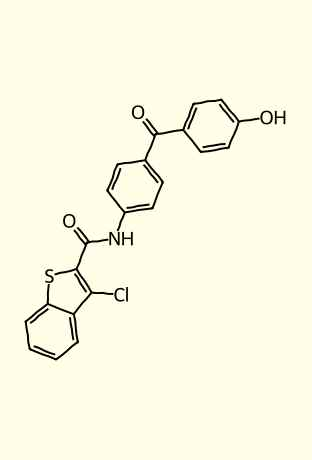 O=C(c1ccc(O)cc1)c1ccc(NC(=O)c2sc3ccccc3c2Cl)cc1